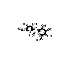 OC[C@H]1O[C@](CO)(O[C@@H]2O[C@H](CO)[C@@H](O)[C@H](O)[C@H]2O)[C@@H](O)[C@@H]1O